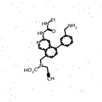 C#CCN(Cc1ccc(-c2cccc(CN)c2)c2cc(NC(=O)NCC)ncc12)C(=O)O